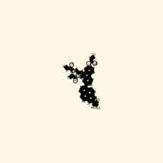 C=CC(=O)OCCCC1(COC(=O)C=C)c2cc(OC(=O)C=C)ccc2-c2ccc(-c3ccc4ccc5cc(C(C)(C)C)cc6ccc3c4c56)cc21